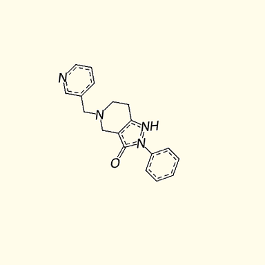 O=c1c2c([nH]n1-c1ccccc1)CCN(Cc1cccnc1)C2